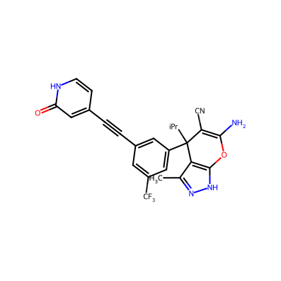 Cc1n[nH]c2c1C(c1cc(C#Cc3cc[nH]c(=O)c3)cc(C(F)(F)F)c1)(C(C)C)C(C#N)=C(N)O2